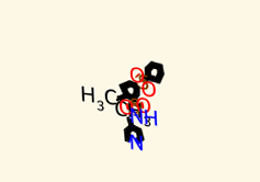 CC(C)c1ccc(S(=O)(=O)c2ccccc2)cc1S(=O)(=O)NCc1ccncc1